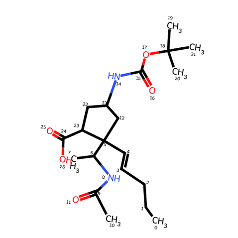 CCCC=CC1(C(C)NC(C)=O)CC(NC(=O)OC(C)(C)C)CC1C(=O)O